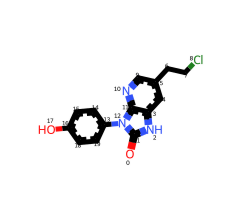 O=c1[nH]c2cc(CCCl)cnc2n1-c1ccc(O)cc1